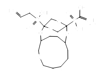 C=CCP(=O)(O)C12CCC(P(=O)(O)C(=C)C)(CC1)OC1CCCCCCCC(CC1)O2